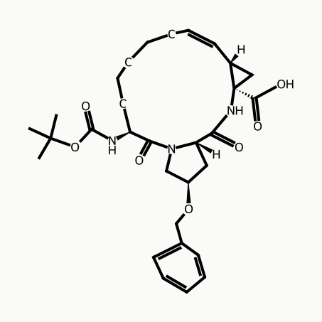 CC(C)(C)OC(=O)N[C@H]1CCCCC/C=C\[C@@H]2C[C@@]2(C(=O)O)NC(=O)[C@@H]2C[C@@H](OCc3ccccc3)CN2C1=O